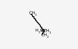 C=CC[N+](C)(CC)CCCCCCCCCCCCCCCCC